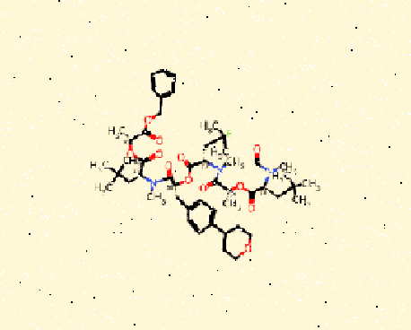 C[C@@H](OC(=O)[C@H](CC(C)(C)C)N(C)C(=O)[C@@H](Cc1ccc(C2CCOCC2)cc1)OC(=O)[C@H](CC(C)(C)F)N(C)C(=O)[C@@H](C)OC(=O)[C@H](CC(C)(C)C)N(C)C=O)C(=O)OCc1ccccc1